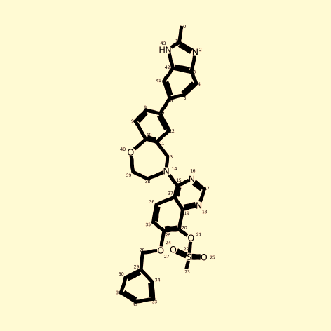 Cc1nc2ccc(-c3ccc4c(c3)CN(c3ncnc5c(OS(C)(=O)=O)c(OCc6ccccc6)ccc35)CCO4)cc2[nH]1